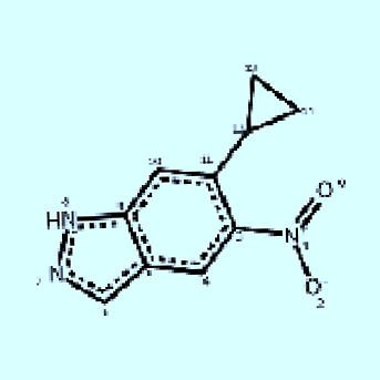 O=[N+]([O-])c1cc2cn[nH]c2cc1C1CC1